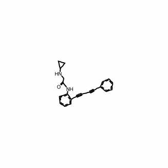 O=C(CNC1CC1)Nc1ccccc1C#CC#Cc1ccccc1